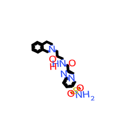 NS(=O)(=O)c1ccc2nc(C(=O)NCC(O)CN3CCc4ccccc4C3)cn2c1